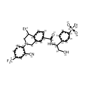 CCC1CN(c2ncc(C(F)(F)F)cc2C#N)Cc2cc(C(=O)NC(CO)c3ccc(S(=O)(=O)CC)cc3)ccc21